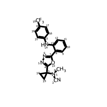 CN(C#N)C1(c2nnc(-c3ccccc3Nc3ccc(C(F)(F)F)cc3)o2)CC1